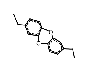 CCc1ccc2c(c1)Oc1ccc(CC)cc1O2